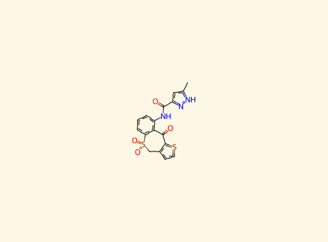 Cc1cc(C(=O)Nc2cccc3c2C(=O)c2sccc2CS3(=O)=O)n[nH]1